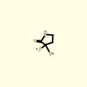 N#CC1(C(F)(F)F)CCNC1=O